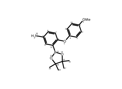 COc1ccc(Oc2ccc(N)cc2B2OC(C)(C)C(C)(C)O2)cc1